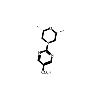 C[C@@H]1CN(c2ncc(C(=O)O)cn2)C[C@H](C)O1